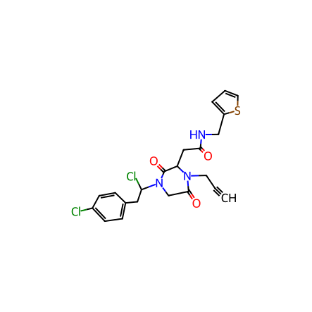 C#CCN1C(=O)CN(C(Cl)Cc2ccc(Cl)cc2)C(=O)C1CC(=O)NCc1cccs1